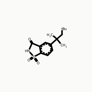 CC(C)(C)CC(C)(C)c1ccc2c(c1)C(=O)NS2(=O)=O